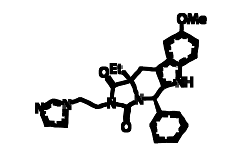 CC[C@@]12Cc3c([nH]c4ccc(OC)cc34)[C@@H](c3ccccc3)N1C(=O)N(CCn1ccnc1)C2=O